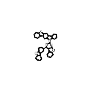 c1ccc2c(c1)oc1ccc(-c3nc(-n4c5ccccc5c5cc6sc7ccccc7c6cc54)nc4oc5ccccc5c34)cc12